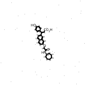 O=C(O)CC(c1ccc(O)cc1)c1ccc2ccc(OCC(=O)NC3CCCCCC3)cc2c1